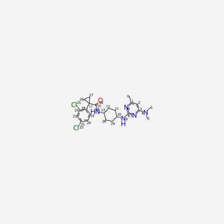 Cc1cc(N(C)C)nc(NC2CCC(NC(=O)C3(c4ccc(Cl)cc4Cl)CC3)CC2)n1